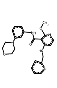 COc1nccc(NCc2ccccn2)c1C(=O)Nc1cccc(N2CCOCC2)c1